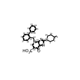 CC1CCN(c2nc3c(=O)c(C(=O)O)cn(Cc4ccccc4-c4ccccc4)c3s2)CC1